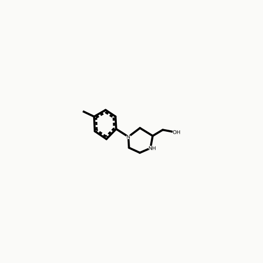 Cc1ccc(N2CCNC(CO)C2)cc1